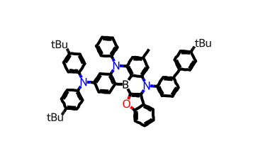 Cc1cc2c3c(c1)N(c1cccc(-c4ccc(C(C)(C)C)cc4)c1)c1c(oc4ccccc14)B3c1ccc(N(c3ccc(C(C)(C)C)cc3)c3ccc(C(C)(C)C)cc3)cc1N2c1ccccc1